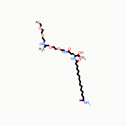 C=C(COCCOCCNC(=O)CC[C@H](NC(=O)CCCCCCCCCCCCCCC(N)I)C(=C)O)NCCOCCOCC(C)=O